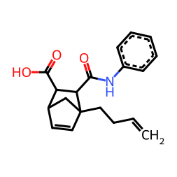 C=CCCC12C=CC(C1)C(C(=O)O)C2C(=O)Nc1ccccc1